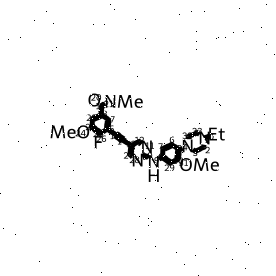 CCN1CCN(c2ccc(Nc3ncc(C#Cc4cc(C(=O)NC)cc(OC)c4F)cn3)cc2OC)CC1